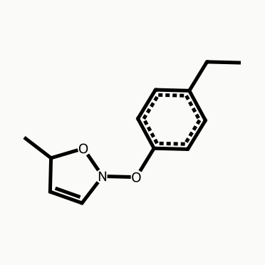 CCc1ccc(ON2C=CC(C)O2)cc1